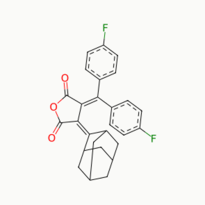 O=C1OC(=O)C(=C2C3CC4CC(C3)CC2C4)C1=C(c1ccc(F)cc1)c1ccc(F)cc1